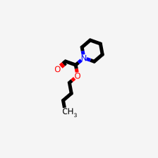 CCCCOC(C=O)N1CCCCC1